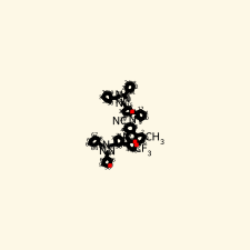 Cc1cc(-c2cc(-n3c4ccccc4c4cc(-c5nc(-c6ccccc6)nc(-c6ccccc6)n5)ccc43)c(C#N)cc2-n2c3ccccc3c3cc(-c4nc(-c5ccccc5)nc(-c5ccccc5)n4)ccc32)cc(C(F)(F)F)c1